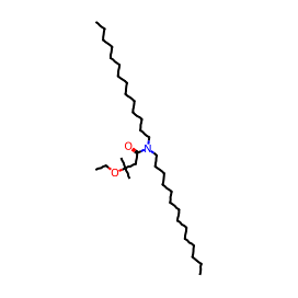 CCCCCCCCCCCCCCN(CCCCCCCCCCCCCC)C(=O)CC(C)(C)OCC